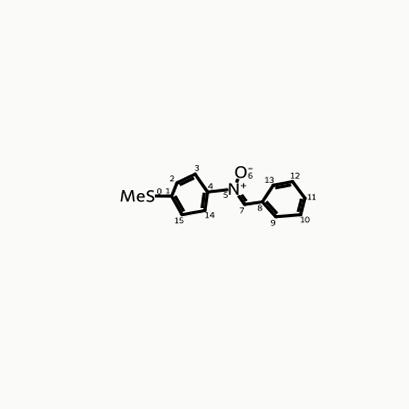 CSc1ccc([N+]([O-])=Cc2ccccc2)cc1